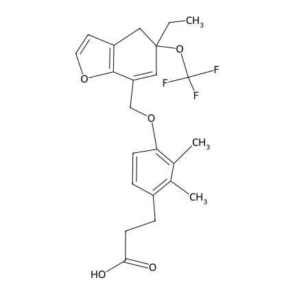 CCC1(OC(F)(F)F)C=C(COc2ccc(CCC(=O)O)c(C)c2C)c2occc2C1